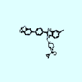 Cc1ccc2c(c1)nc(-c1ccc(-c3ccc4ncsc4c3)cc1)n2C[C@@H]1CCN(C(=O)C2CC2)C1